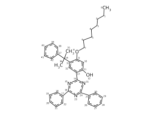 CCCCCCCCOc1cc(O)c(-c2nc(-c3ccccc3)nc(-c3ccccc3)n2)cc1C(C)(C)c1ccccc1